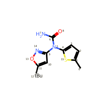 Cc1ccc(N(C(N)=O)c2cc(C(C)(C)C)on2)s1